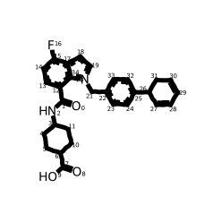 O=C(NC1CCC(C(=O)O)CC1)c1ccc(F)c2ccn(Cc3ccc(C4C=CC=CC4)cc3)c12